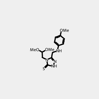 COc1ccc(NCc2n[nH]c(=S)n2CC(OC)OC)cc1